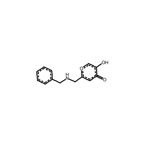 O=c1cc(CNCc2ccccc2)occ1O